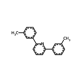 Cc1cccc(-c2cccc(-c3cccc(C)c3)n2)c1